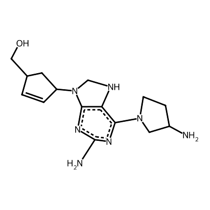 Nc1nc(N2CCC(N)C2)c2c(n1)N(C1C=CC(CO)C1)CN2